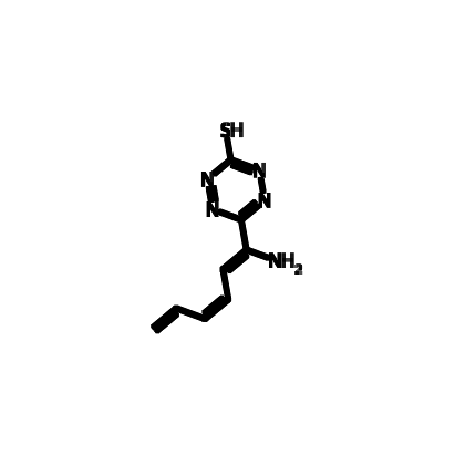 C=C/C=C\C=C(/N)c1nnc(S)nn1